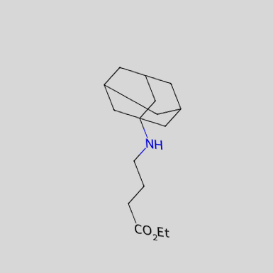 CCOC(=O)CCCNC12CC3CC(CC(C3)C1)C2